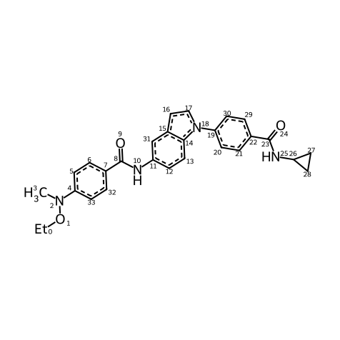 CCON(C)c1ccc(C(=O)Nc2ccc3c(ccn3-c3ccc(C(=O)NC4CC4)cc3)c2)cc1